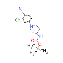 CC(C)(C)OC(=O)NC1CCN(c2ccc(C#N)c(Cl)c2)CC1